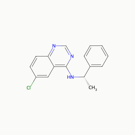 C[C@H](Nc1ncnc2ccc(Cl)cc12)c1ccccc1